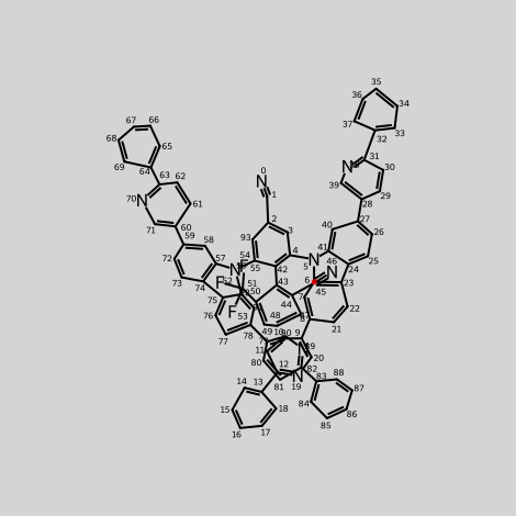 N#Cc1cc(-n2c3cc(-c4ccc(-c5ccccc5)nc4)ccc3c3ccc(-c4ccc(-c5ccccc5)nc4)cc32)c(-c2c(C#N)cccc2C(F)(F)F)c(-n2c3cc(-c4ccc(-c5ccccc5)nc4)ccc3c3ccc(-c4ccc(-c5ccccc5)nc4)cc32)c1